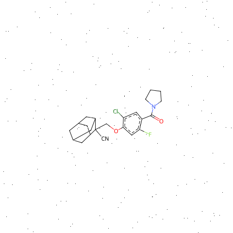 N#CC1(COc2cc(F)c(C(=O)N3CCCC3)cc2Cl)C2CC3CC(C2)CC1C3